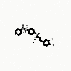 O=C(C=Cc1ccc(O)c(O)c1)Nc1ccc(S(=O)(=O)NC2CCCCC2)cc1